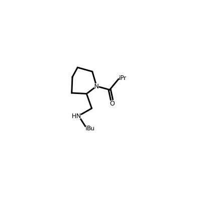 CCC(C)NCC1CCCCN1C(=O)C(C)C